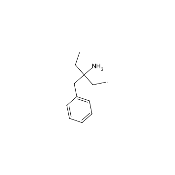 [CH2]CC(N)(CC)Cc1ccccc1